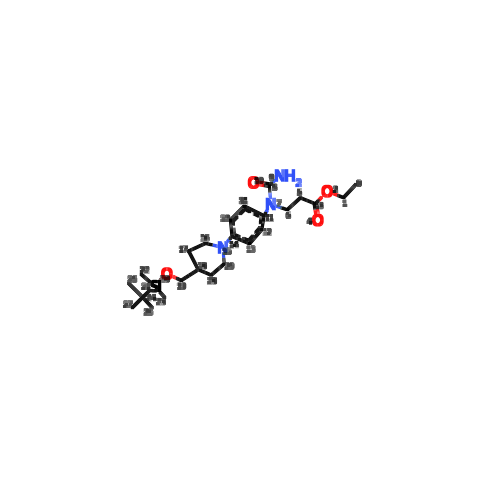 CCOC(=O)CCN(C(N)=O)c1ccc(N2CCC(CO[Si](C)(C)C(C)(C)C)CC2)cc1